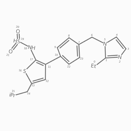 CCc1nccn1Cc1ccc(-c2cc(CC(C)C)sc2N[SH](=O)=O)cc1